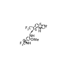 COc1cc(S(=N)(=O)C(F)(F)F)ccc1NCC#Cc1sc2c(N[C@@H]3CCN(C)C[C@@H]3F)cccc2c1CC(F)(F)F